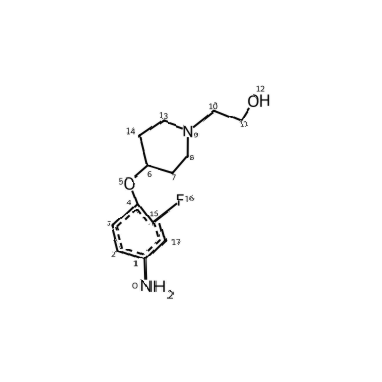 Nc1ccc(OC2CCN(CCO)CC2)c(F)c1